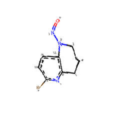 O=NN1CCCc2nc(Br)ccc21